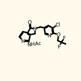 CC(=O)Nc1nccc2c1CN(Cc1cnc(OCC(C)(F)F)c(Cl)c1)C2=O